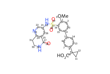 COc1ccc(-c2ccc(C3(C(=O)O)CC3)cc2)cc1S(=O)(=O)Nc1cnc2c(c1)C(=O)NCC2